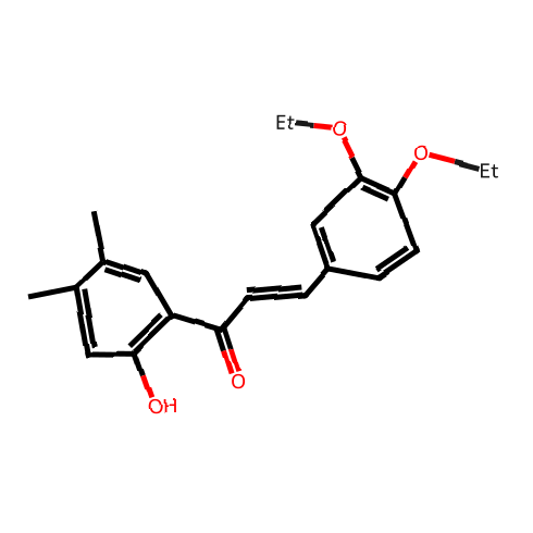 CCOc1ccc(C=CC(=O)c2cc(C)c(C)cc2O)cc1OCC